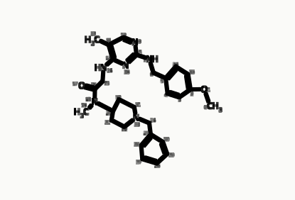 COc1ccc(CNc2ncc(C)c(NCC(=O)N(C)C3CCN(Cc4ccccc4)CC3)n2)cc1